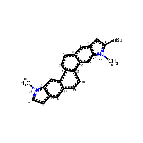 CCCCc1cc2cc3ccc4c5cc6c(ccn6C)cc5ccc4c3cc2n1C